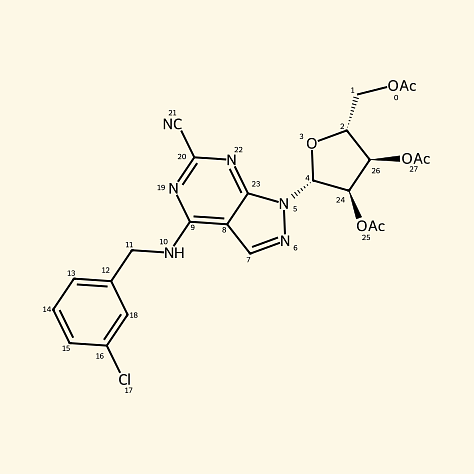 CC(=O)OC[C@H]1O[C@@H](n2ncc3c(NCc4cccc(Cl)c4)nc(C#N)nc32)[C@H](OC(C)=O)[C@@H]1OC(C)=O